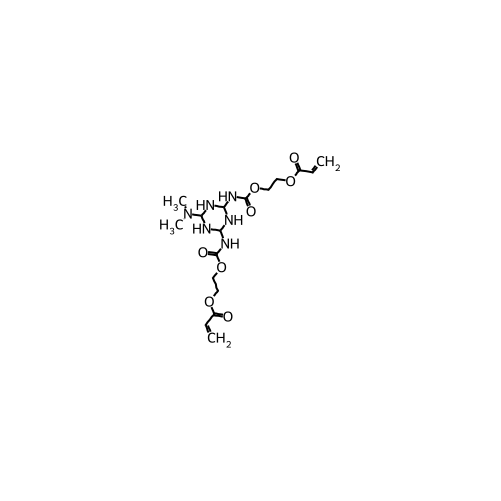 C=CC(=O)OCCOC(=O)NC1NC(NC(=O)OCCOC(=O)C=C)NC(N(C)C)N1